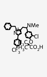 CNC(Cc1cc(-c2ccc(C(F)(F)F)cc2)nn1Cc1ccccc1)c1ccc(OC(C)(C)C(=O)O)c(Cl)c1